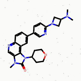 CN(C)C1CN(c2ccc(-c3ccc4ncc5c(c4c3)n(C3CCOCC3)c(=O)n5C)cn2)C1